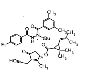 C#CCC1=C(C)[C@@H](OC(=O)C2C(C=C(C)C)C2(C)C)CC1=O.CCc1ccc(C(=O)NN(C(=O)c2cc(C)cc(C)c2)C(C)(C)C)cc1